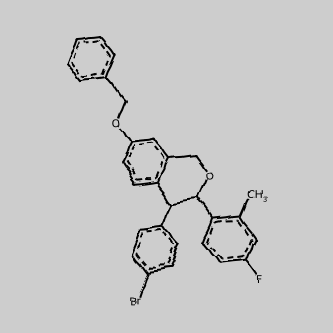 Cc1cc(F)ccc1C1OCc2cc(OCc3ccccc3)ccc2C1c1ccc(Br)cc1